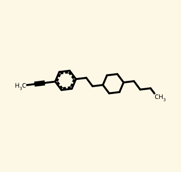 CC#Cc1ccc(CCC2CCC(CCCC)CC2)cc1